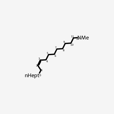 CCCCCCCC/C=C\CCCCCCCCNC